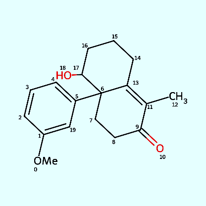 COc1cccc(C23CCC(=O)C(C)=C2CCCC3O)c1